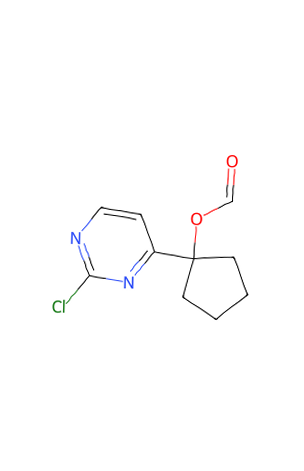 O=COC1(c2ccnc(Cl)n2)CCCC1